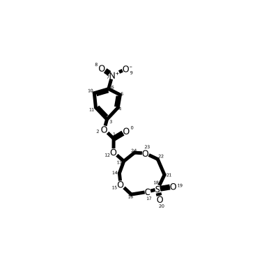 O=C(Oc1ccc([N+](=O)[O-])cc1)OC1COCCS(=O)(=O)CCOC1